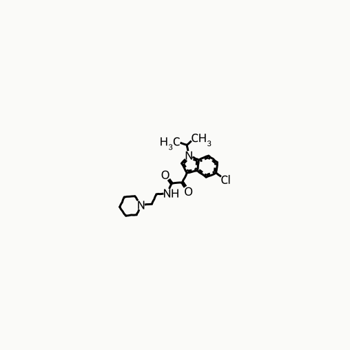 CC(C)n1cc(C(=O)C(=O)NCCN2CCCCC2)c2cc(Cl)ccc21